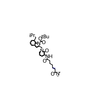 CC(C)Cc1cccc2cc(Cn3cccc(NC(=O)CCC/C=C/C(=O)N(C)C)c3=O)n(C(=O)OC(C)(C)C)c12